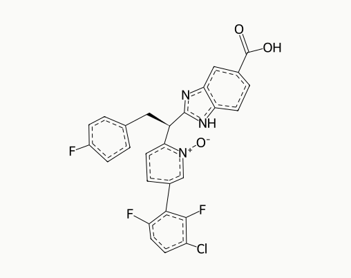 O=C(O)c1ccc2[nH]c([C@H](Cc3ccc(F)cc3)c3ccc(-c4c(F)ccc(Cl)c4F)c[n+]3[O-])nc2c1